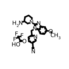 COc1ccc2c(c1)nc(N1CCCC(N)C1)n2Cc1ccc(C#N)cn1.O=C(O)C(F)(F)F